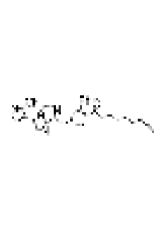 C#CCCCCCCC(=O)c1ccc(Cc2nccn3c(C4=CCN=C4C(F)(F)F)cnc23)cc1CC